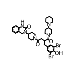 O=C(CC(Cc1cc(Br)c(O)c(Br)c1)C(=O)N1CCC(N2CCCCC2)CC1)N1CCC(N2Cc3ccccc3NC2=O)CC1